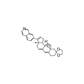 C[C@]12CC=C3C=C4CCC5(CC46CC[C@]3(O6)[C@@H]1CC=C2c1ccc2ccncc2c1)OCCO5